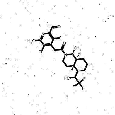 Cc1nc(C=O)c(Cl)c(CC(=O)N2CC[C@H]3[C@H]([C@H](O)C(F)(F)F)CCC[C@@H]3[C@@H]2C)c1Cl